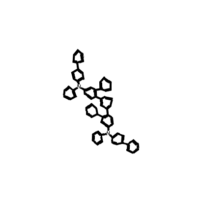 C1=CCC(c2cc(N(c3ccccc3)c3ccc(-c4ccccc4)cc3)ccc2-c2cccc(-c3ccc(N(c4ccccc4)c4ccc(-c5ccccc5)cc4)cc3-c3ccccc3)c2)C=C1